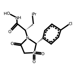 CC(C)C[C@@H](C(=O)NO)N1C(=O)CS(=O)(=O)[C@H]1c1ccc(Cl)cc1